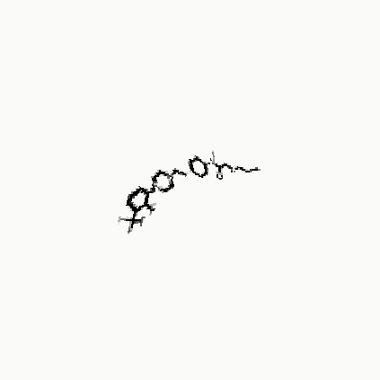 CCCOCC(=O)N[C@H]1CC[C@H](CCN2CCN(c3cccc(C(F)(F)F)c3F)CC2)CC1